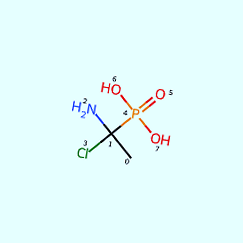 CC(N)(Cl)P(=O)(O)O